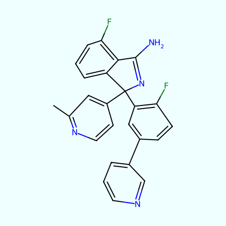 Cc1cc(C2(c3cc(-c4cccnc4)ccc3F)N=C(N)c3c(F)cccc32)ccn1